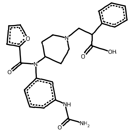 NC(=O)Nc1cccc(N(C(=O)c2ccco2)C2CCN(CC(C(=O)O)c3ccccc3)CC2)c1